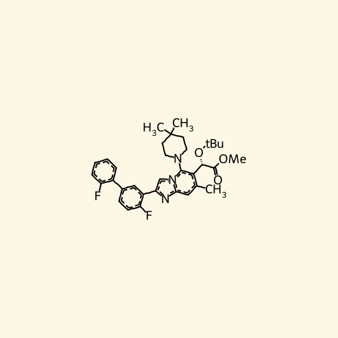 COC(=O)[C@@H](OC(C)(C)C)c1c(C)cc2nc(-c3cc(-c4ccccc4F)ccc3F)cn2c1N1CCC(C)(C)CC1